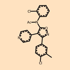 CC(=O)N(c1ccccc1Cl)c1onc(-c2ccc(Cl)c(C)c2)c1-c1ccncc1